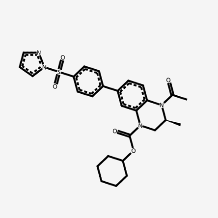 CC(=O)N1c2ccc(-c3ccc(S(=O)(=O)n4cccn4)cc3)cc2N(C(=O)OC2CCCCC2)C[C@@H]1C